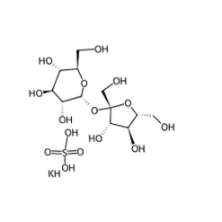 O=S(=O)(O)O.OC[C@H]1O[C@@](CO)(O[C@H]2O[C@H](CO)[C@@H](O)[C@H](O)[C@H]2O)[C@@H](O)[C@@H]1O.[KH]